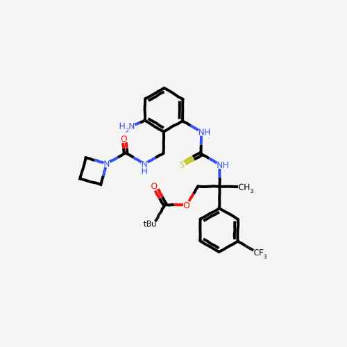 CC(C)(C)C(=O)OCC(C)(NC(=S)Nc1cccc(N)c1CNC(=O)N1CCC1)c1cccc(C(F)(F)F)c1